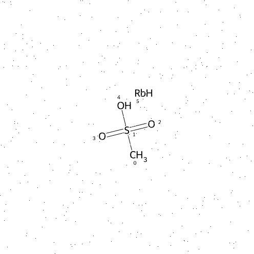 CS(=O)(=O)O.[RbH]